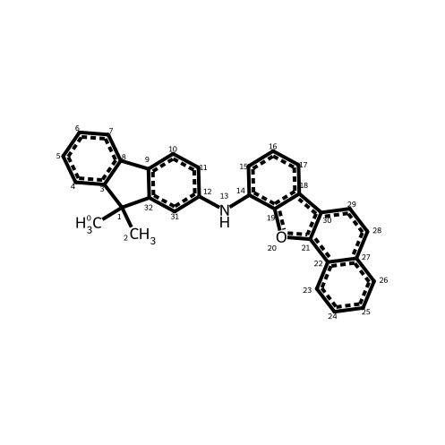 CC1(C)c2ccccc2-c2ccc(Nc3cccc4c3oc3c5ccccc5ccc43)cc21